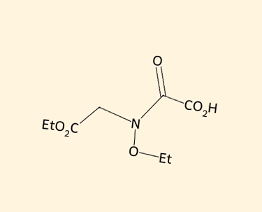 CCOC(=O)CN(OCC)C(=O)C(=O)O